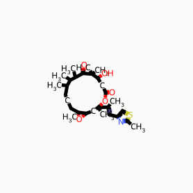 C/C(=C\c1csc(C)n1)C1(C)CC2OC2(C)CCCC(C)C(C)C(C)C(=O)C(C)(C)C(O)CC(=O)O1